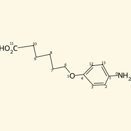 Nc1ccc(OCCCCCC(=O)O)cc1